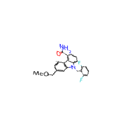 COCc1c[c]c2c3c(C(N)=O)cccc3n(Cc3c(F)cccc3F)c2c1